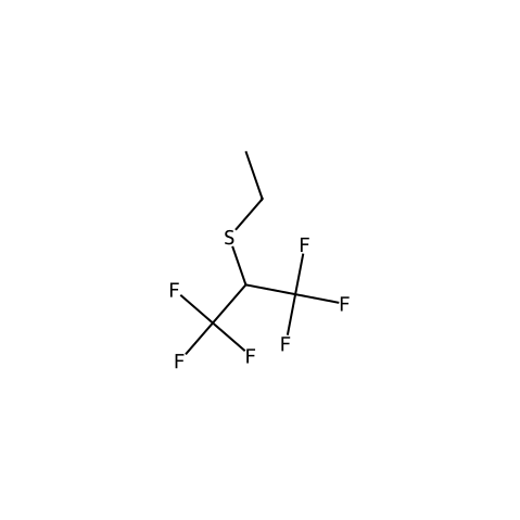 CCSC(C(F)(F)F)C(F)(F)F